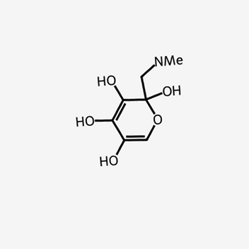 CNCC1(O)OC=C(O)C(O)=C1O